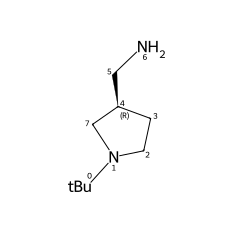 CC(C)(C)N1CC[C@H](CN)C1